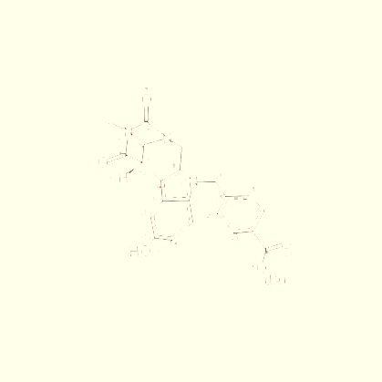 CN1C(=O)[C@@H]2CN(Cc3c2c2cc(O)ccc2n3Cc2ccc(C(=O)OC(C)(C)C)cc2)C1=O